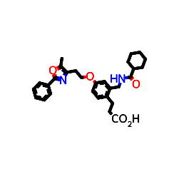 Cc1oc(-c2ccccc2)nc1CCOc1ccc(CCC(=O)O)c(CNC(=O)C2CCCCC2)c1